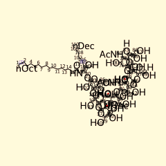 CCCCCCCC/C=C\CCCCCCCCCCCCCC(=O)N[C@@H](CO[C@@H]1OC(CO)[C@@H](O[C@@H]2OC(CO)[C@H](O[C@@H]3OC(CO)[C@H](O)[C@H](O)C3NC(C)=O)[C@H](O[C@H]3OC(CO)[C@H](O)[C@H](O[C@@H]4OC(CO)[C@@H](O[C@@H]5OC(CO)[C@H](O)[C@H](O[C@]6(C(=O)O)CC(O)[C@@H](NC(C)=O)C([C@H](O)[C@H](O)CO)O6)C5O)[C@H](O)C4NC(C)=O)C3O)C2O)[C@H](O)C1O)[C@H](O)/C=C/CCCCCCCCCCCCC